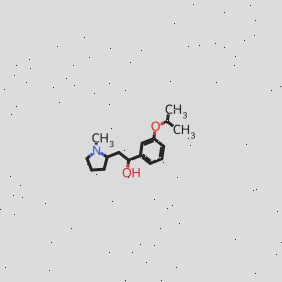 CC(C)Oc1cccc(C(O)CC2CCCN2C)c1